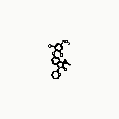 CC1CC12C(=O)N(C1CCCCO1)c1ccc(Oc3c(Cl)cc([N+](=O)[O-])cc3Cl)cc12